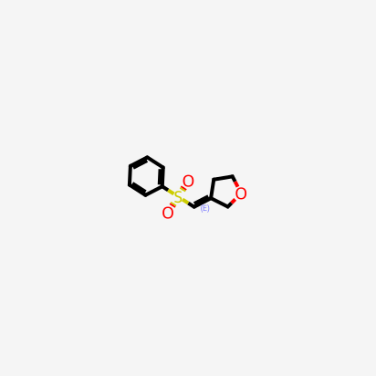 O=S(=O)(/C=C1\CCOC1)c1ccccc1